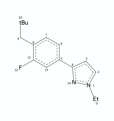 CCn1ccc(-c2ccc(CC(C)(C)C)c(F)c2)n1